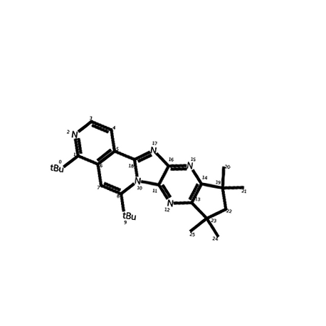 CC(C)(C)c1nccc2c1cc(C(C)(C)C)n1c3nc4c(nc3nc21)C(C)(C)CC4(C)C